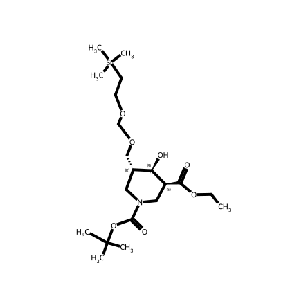 CCOC(=O)[C@H]1CN(C(=O)OC(C)(C)C)C[C@H](COCOCC[Si](C)(C)C)[C@H]1O